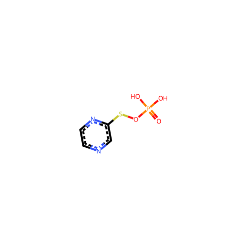 O=P(O)(O)OSc1cnccn1